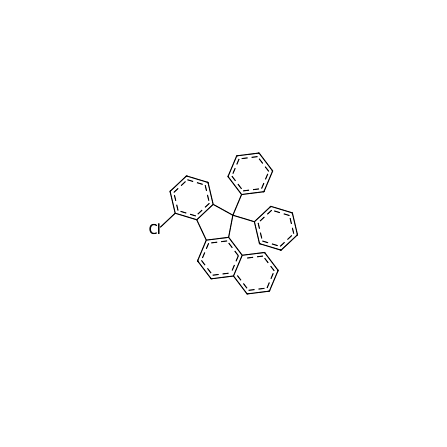 Clc1cccc2c1-c1ccc3ccccc3c1C2(c1ccccc1)c1ccccc1